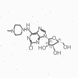 CN1CCN(Nc2nc(Cl)nc3c2ncn3[C@@H]2O[C@H](CO)[C@@H](O)[C@H]2O)CC1